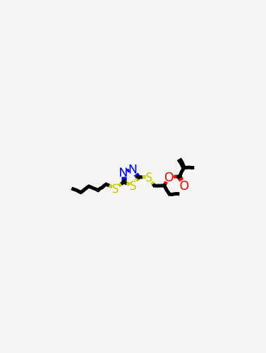 C=C(C)C(=O)OC(CC)CSc1nnc(SCCCCC)s1